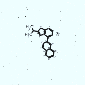 CC(C)C1=Cc2c(cccc2-c2ccc3ccccc3c2)[CH]1.[Zr]